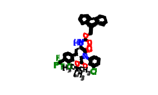 CC(C)(C)OC(=O)CN(C(=O)[C@H](CCc1ccc(C(F)(F)F)c(Cl)c1)NC(=O)OCC1c2ccccc2-c2ccccc21)c1cccc(Cl)c1